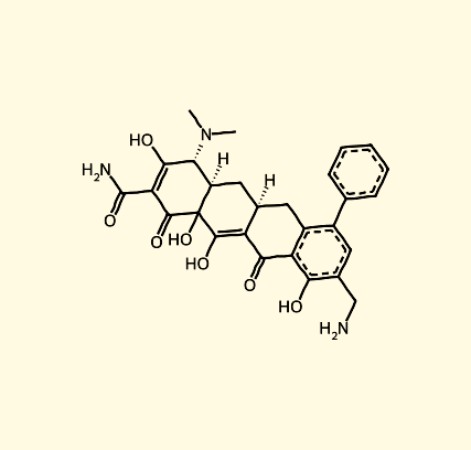 CN(C)[C@H]1C(O)=C(C(N)=O)C(=O)C2(O)C(O)=C3C(=O)c4c(O)c(CN)cc(-c5ccccc5)c4C[C@@H]3C[C@H]12